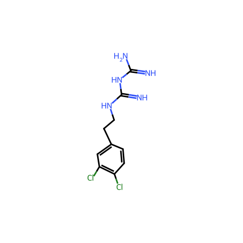 N=C(N)NC(=N)NCCc1ccc(Cl)c(Cl)c1